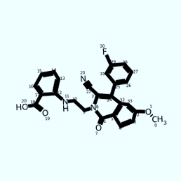 COc1ccc2c(=O)n(CCNc3ccccc3C(=O)O)c(C#N)c(-c3cccc(F)c3)c2c1